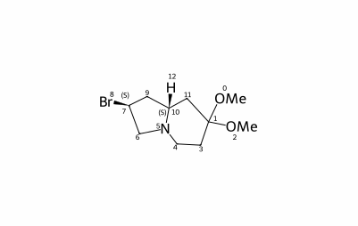 COC1(OC)CCN2C[C@@H](Br)C[C@@H]2C1